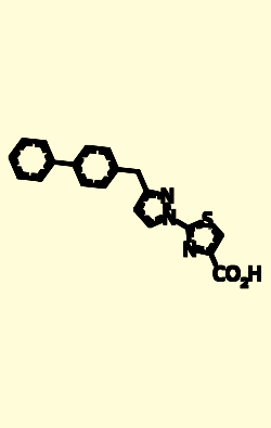 O=C(O)c1csc(-n2ccc(Cc3ccc(-c4ccccc4)cc3)n2)n1